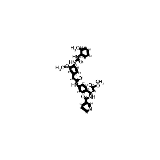 COC(=O)C[C@@H](NC(=O)c1cccnc1)c1ccc(NC(=O)Cc2ccc(NC(=O)Nc3ccccc3C)c(OC)c2)cc1